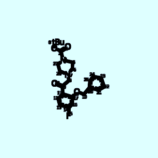 CC(C)(C)OC(=O)N1CCN(CC(=O)c2ccc(F)cc2OCc2ccccc2)CC1